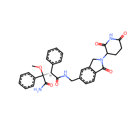 COC(C(N)=O)(c1ccccc1)[C@@H](C(=O)NCc1ccc2c(c1)CN(C1CCC(=O)NC1=O)C2=O)c1ccccc1